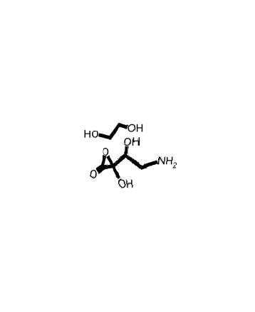 NCC(O)C1(O)OC1=O.OCCO